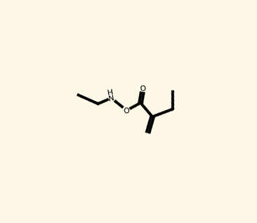 C=C(CC)C(=O)ONCC